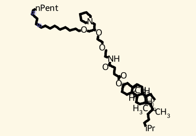 CCCCC/C=C\C/C=C\CCCCCCCCOCC(CN1CCCCC1)OCCOCCNC(=O)CCC(=O)O[C@H]1CC[C@@]2(C)C(=CC[C@H]3[C@@H]4CC[C@H]([C@H](C)CCCC(C)C)[C@@]4(C)CC[C@@H]32)C1